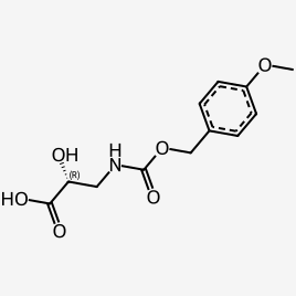 COc1ccc(COC(=O)NC[C@@H](O)C(=O)O)cc1